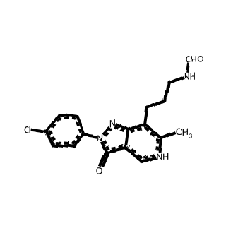 Cc1[nH]cc2c(=O)n(-c3ccc(Cl)cc3)nc-2c1CCCNC=O